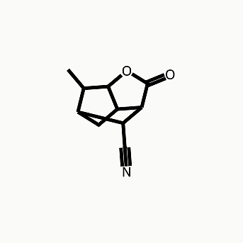 CC1C2CC3C1OC(=O)C3C2C#N